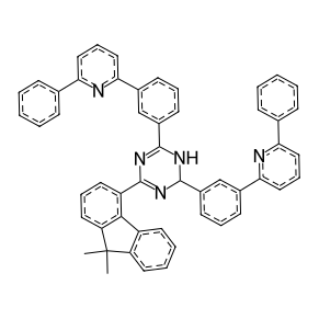 CC1(C)c2ccccc2-c2c(C3=NC(c4cccc(-c5cccc(-c6ccccc6)n5)c4)NC(c4cccc(-c5cccc(-c6ccccc6)n5)c4)=N3)cccc21